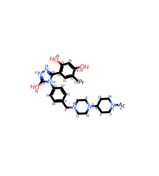 CC(=O)N1CCC(N2CCN(Cc3ccc(-n4c(O)nnc4-c4cc(C(C)C)c(O)cc4O)cc3)CC2)CC1